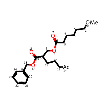 COCCCCCC(=O)OCC(CCCC(C)=O)C(=O)OCc1ccccc1